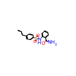 CCCc1ccc(S(=O)(=O)Nc2ccccc2C(N)=O)cc1